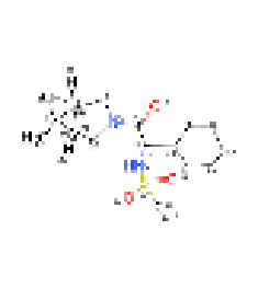 CC1(C)[C@@H]2CN(C(=O)[C@@H](NS(=O)(=O)C(F)(F)F)C3CCCCC3)C[C@@H]21